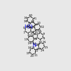 c1ccc([Si](c2ccccc2)(c2cccc(-n3c4ccccc4c4ccccc43)c2)c2cccc3c2[nH]c2ccccc23)cc1